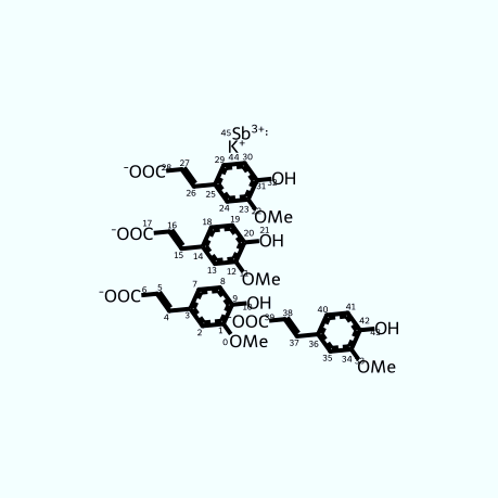 COc1cc(/C=C/C(=O)[O-])ccc1O.COc1cc(/C=C/C(=O)[O-])ccc1O.COc1cc(/C=C/C(=O)[O-])ccc1O.COc1cc(/C=C/C(=O)[O-])ccc1O.[K+].[Sb+3]